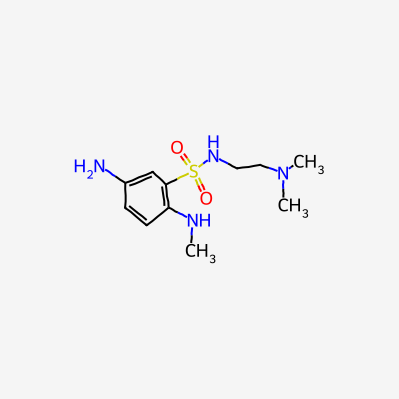 CNc1ccc(N)cc1S(=O)(=O)NCCN(C)C